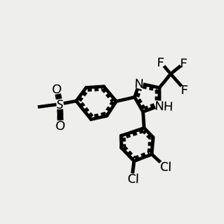 CS(=O)(=O)c1ccc(-c2nc(C(F)(F)F)[nH]c2-c2ccc(Cl)c(Cl)c2)cc1